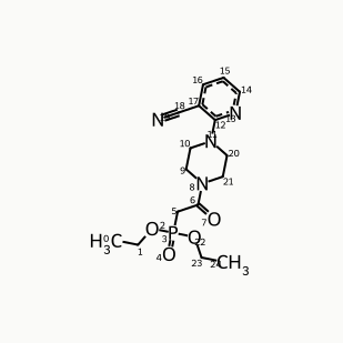 CCOP(=O)(CC(=O)N1CCN(c2ncccc2C#N)CC1)OCC